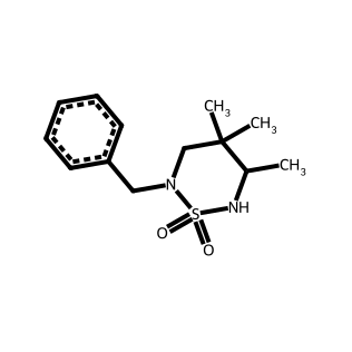 CC1NS(=O)(=O)N(Cc2ccccc2)CC1(C)C